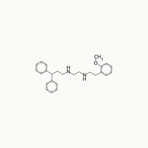 COc1ccccc1CCNCCNCCC(c1ccccc1)c1ccccc1